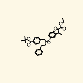 CCOC(=O)c1oc2ccc(SN(CCc3ccccc3)Cc3ccc(C(=O)OC(C)(C)C)cc3)cc2c1C